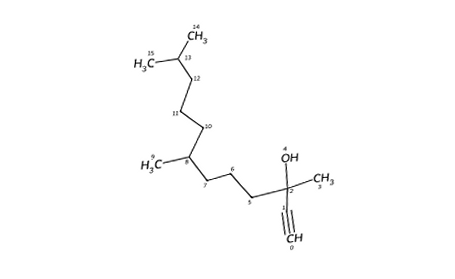 C#CC(C)(O)CCCC(C)CCCC(C)C